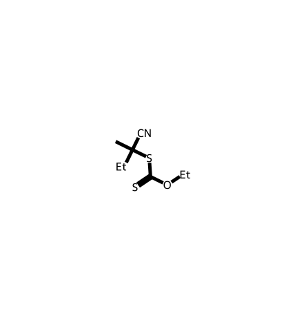 CCOC(=S)SC(C)(C#N)CC